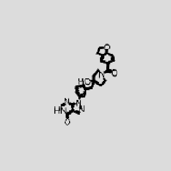 O=C(c1ccc2c(c1)CCO2)N1CCC(O)(Cc2cccc(-n3ncc4c(=O)[nH]cnc43)c2)CC1